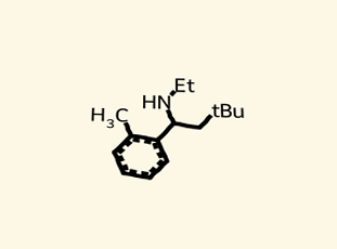 CCNC(CC(C)(C)C)c1ccccc1C